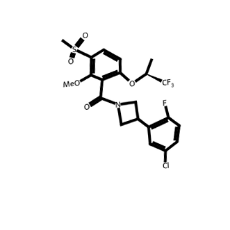 COc1c(S(C)(=O)=O)ccc(O[C@@H](C)C(F)(F)F)c1C(=O)N1CC(c2cc(Cl)ccc2F)C1